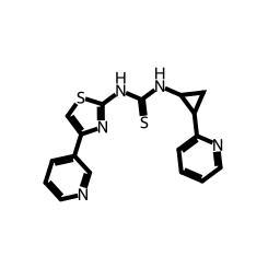 S=C(Nc1nc(-c2cccnc2)cs1)NC1CC1c1ccccn1